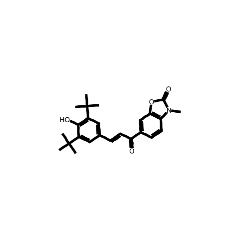 Cn1c(=O)oc2cc(C(=O)C=Cc3cc(C(C)(C)C)c(O)c(C(C)(C)C)c3)ccc21